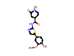 CC(C)Oc1cc(-c2cnc(NC(=O)c3ccn(C(C)C)c(=O)c3)s2)ccc1C#N